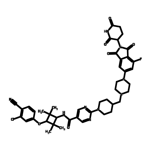 CC1(C)C(NC(=O)c2cnc(N3CCC(CN4CCN(c5cc(F)c6c(c5)C(=O)N(C5CCC(=O)NC5=O)C6=O)CC4)CC3)nc2)C(C)(C)C1Oc1ccc(C#N)c(Cl)c1